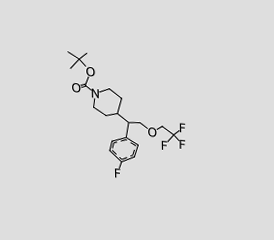 CC(C)(C)OC(=O)N1CCC(C(COCC(F)(F)F)c2ccc(F)cc2)CC1